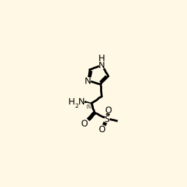 CS(=O)(=O)C(=O)[C@@H](N)Cc1c[nH]cn1